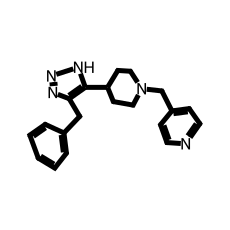 c1ccc(Cc2nn[nH]c2C2CCN(Cc3ccncc3)CC2)cc1